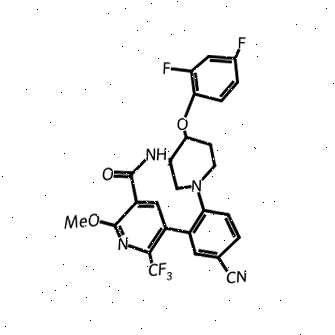 COc1nc(C(F)(F)F)c(-c2cc(C#N)ccc2N2CCC(Oc3ccc(F)cc3F)CC2)cc1C(N)=O